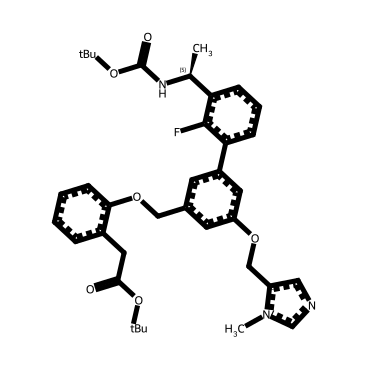 C[C@H](NC(=O)OC(C)(C)C)c1cccc(-c2cc(COc3ccccc3CC(=O)OC(C)(C)C)cc(OCc3cncn3C)c2)c1F